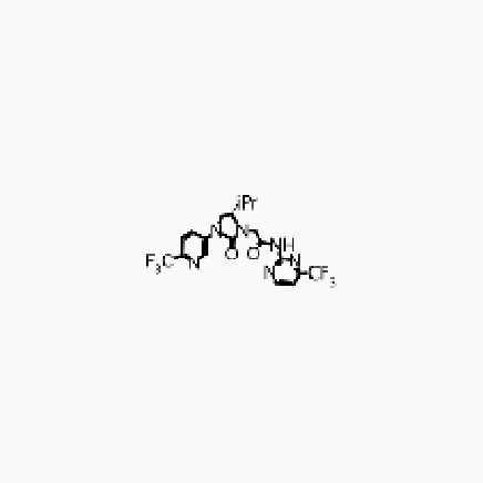 CC(C)[C@H]1CN(c2ccc(C(F)(F)F)nc2)C(=O)N1CC(=O)Nc1nccc(C(F)(F)F)n1